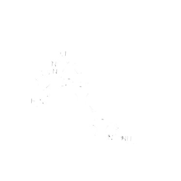 Cc1nn(-c2cccc(CN)c2)c2c(F)c(-c3ccc(C#Cc4ccc5nc(N)sc5c4)cc3)ccc12